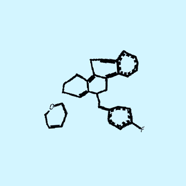 C1=CCOCC1.Fc1ccc(CC2CC3=c4ccccc4=CCC3=C3CCCC=C32)cc1